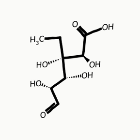 CC[C@@](O)([C@H](O)C(=O)O)[C@H](O)[C@@H](O)C=O